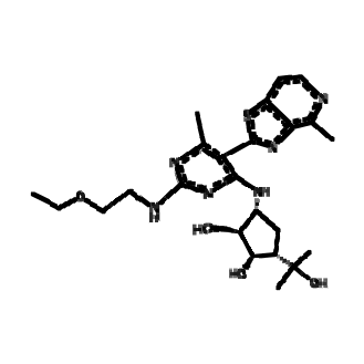 CCOCCNc1nc(C)c(-c2nc3c(C)nccc3s2)c(N[C@@H]2C[C@H](C(C)(C)O)[C@@H](O)[C@H]2O)n1